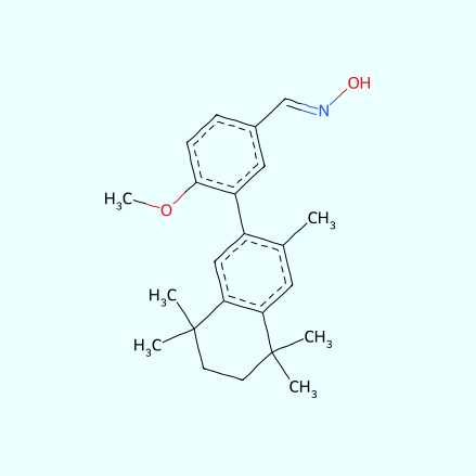 COc1ccc(C=NO)cc1-c1cc2c(cc1C)C(C)(C)CCC2(C)C